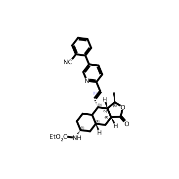 CCOC(=O)N[C@@H]1CCC2[C@@H](C1)C[C@H]1C(=O)O[C@H](C)[C@H]1[C@H]2/C=C/c1ccc(-c2ccccc2C#N)cn1